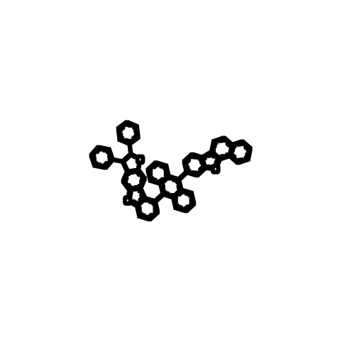 c1ccc(C2Oc3cc4c(cc3C2c2ccccc2)oc2cccc(-c3c5ccccc5c(-c5ccc6c(c5)oc5c7ccccc7ccc65)c5ccccc35)c24)cc1